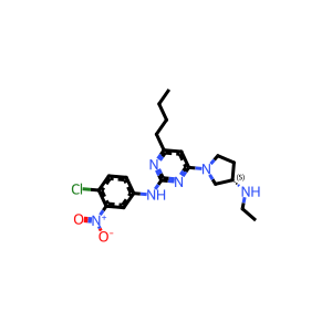 CCCCc1cc(N2CC[C@H](NCC)C2)nc(Nc2ccc(Cl)c([N+](=O)[O-])c2)n1